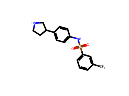 O=S(=O)(Nc1ccc(C2CCNC2)cc1)c1cccc(C(F)(F)F)c1